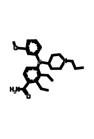 CCCN1CCC(N(c2cccc(OC)c2)c2ccc(C(N)=O)c(CC)c2CC)CC1